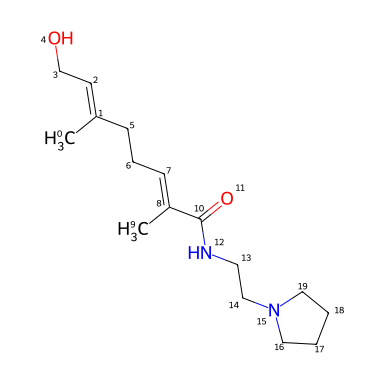 C/C(=C\CO)CC/C=C(\C)C(=O)NCCN1CCCC1